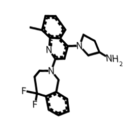 Cc1cccc2c(N3CCC(N)C3)cc(N3CCC(F)(F)c4ccccc4C3)nc12